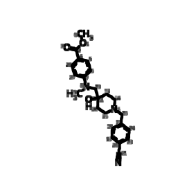 COC(=O)c1ccc(N(C)CC2(O)CCN(Cc3ccc(C#N)cc3)CC2)cc1